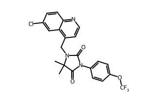 CC1(C)C(=O)N(c2ccc(OC(F)(F)F)cc2)C(=O)N1Cc1ccnc2ccc(Cl)cc12